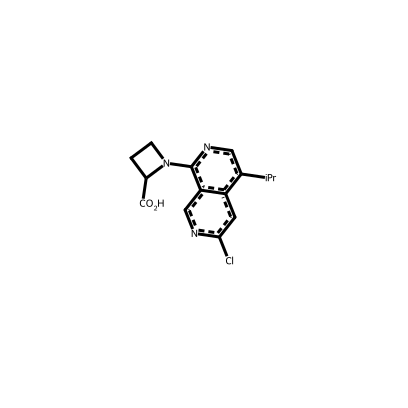 CC(C)c1cnc(N2CCC2C(=O)O)c2cnc(Cl)cc12